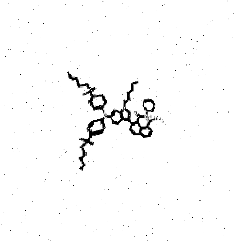 CCCCCCn1cc(-c2ccc3cccc(C(N)=O)c3c2C(=O)NC2CCCCC2)c2ccc(N(c3ccc(C(C)(C)CCCCC)cc3)c3ccc(C(C)(C)CCCCC)cc3)cc21